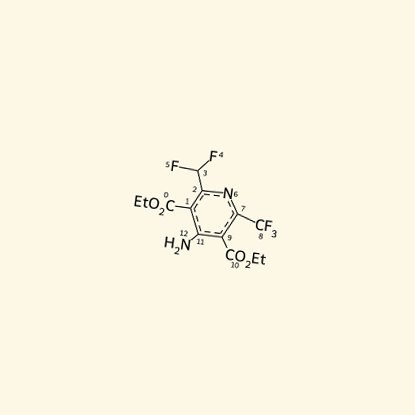 CCOC(=O)c1c(C(F)F)nc(C(F)(F)F)c(C(=O)OCC)c1N